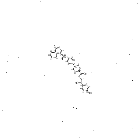 O=C(CCC(=O)N1CCN(c2ccc(NC(=O)c3cccc4ccccc34)cc2)CC1)c1ccc(O)cc1